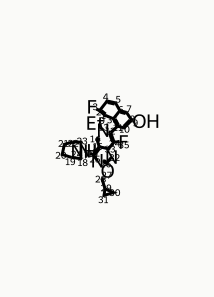 CCc1c(F)ccc2cc(O)cc(-c3ncc4c(N5CC6CCC(C5)N6)nc(OCC5CC5)nc4c3F)c12